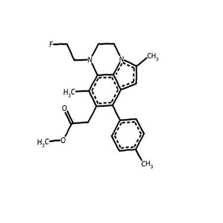 COC(=O)Cc1c(C)c2c3c(cc(C)n3CCN2CCF)c1-c1ccc(C)cc1